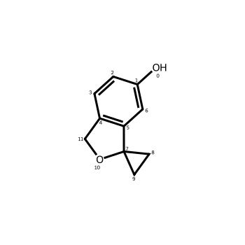 Oc1ccc2c(c1)C1(CC1)OC2